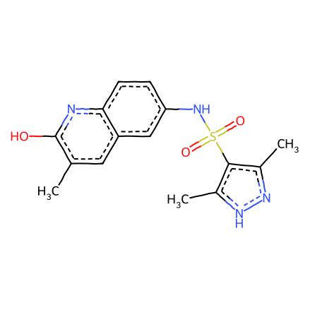 Cc1cc2cc(NS(=O)(=O)c3c(C)n[nH]c3C)ccc2nc1O